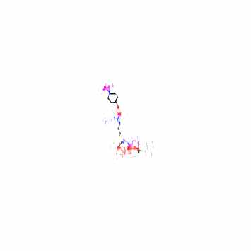 CC(C)(C)OC(=O)N[C@@H](CCCCNC(=O)OCc1ccc([N+](=O)[O-])cc1)C(=O)O